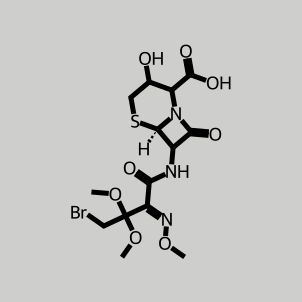 CON=C(C(=O)NC1C(=O)N2C(C(=O)O)C(O)CS[C@H]12)C(CBr)(OC)OC